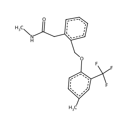 CNC(=O)Cc1ccccc1COc1ccc(C)cc1C(F)(F)F